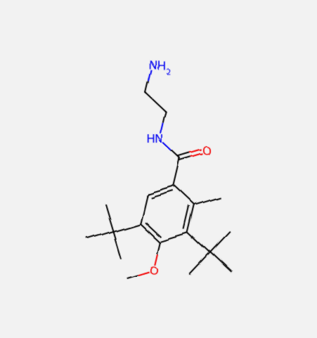 COc1c(C(C)(C)C)cc(C(=O)NCCN)c(C)c1C(C)(C)C